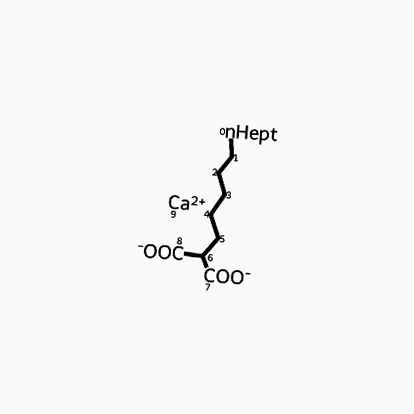 CCCCCCCCCCCCC(C(=O)[O-])C(=O)[O-].[Ca+2]